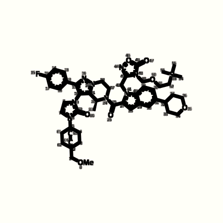 COCC12CCC(n3ccn(-c4c(-c5ccc(F)cc5)nn5c4[C@H](C)N(C(=O)c4cc6cc(C7CCOCC7)ccc6n4Cc4noc(=O)n4COCC[Si](C)(C)C)CC5)c3=O)(CC1)CC2